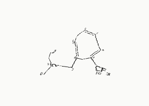 [CH3][In]([CH3])[CH2]c1ccccc1C(F)(F)F